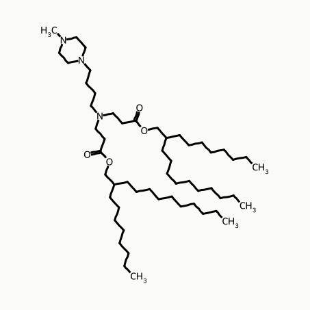 CCCCCCCCCCC(CCCCCCCC)COC(=O)CCN(CCCCN1CCN(C)CC1)CCC(=O)OCC(CCCCCCCC)CCCCCCCCCC